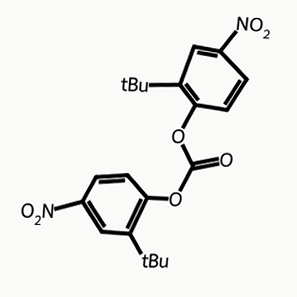 CC(C)(C)c1cc([N+](=O)[O-])ccc1OC(=O)Oc1ccc([N+](=O)[O-])cc1C(C)(C)C